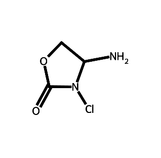 NC1COC(=O)N1Cl